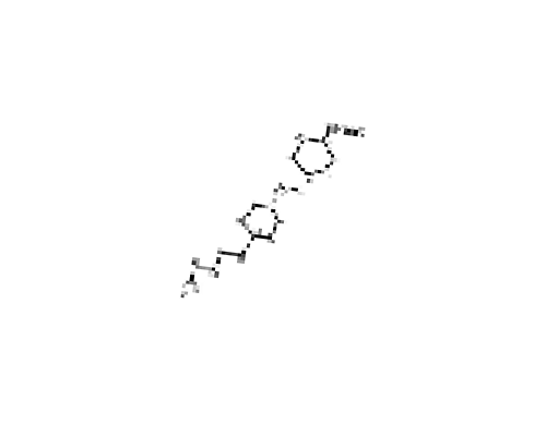 CCCCC[C@H]1CC[C@H](CO[C@H]2CC[C@H](CCC=CC#N)CC2)CC1